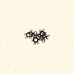 CC1(C)SCN(CCCCN2C3CCC2CC(OC(c2ccccc2)c2ccccc2Br)C3)C1=O